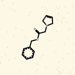 O=C(CN1CC=CC1)OCc1ccccc1